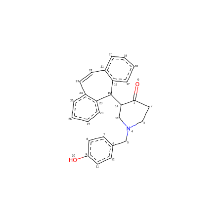 O=C1CCN(Cc2ccc(O)cc2)CC1C1c2ccccc2C=Cc2ccccc21